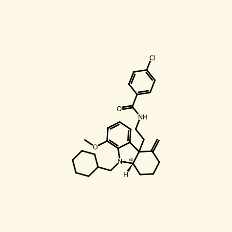 C=C1CCC[C@@H]2N(CC3CCCCC3)c3c(OC)cccc3C12CCNC(=O)c1ccc(Cl)cc1